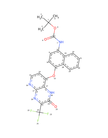 CC(C)(C)OC(=O)Nc1ccc(Oc2ccnc3nc(C(F)(F)F)c(=O)[nH]c23)c2ccccc12